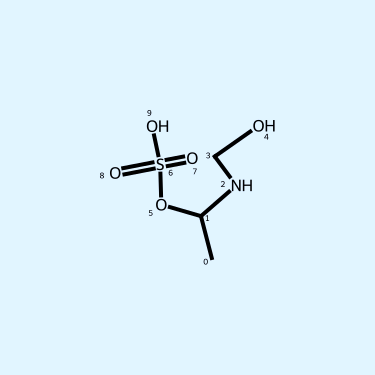 CC(NCO)OS(=O)(=O)O